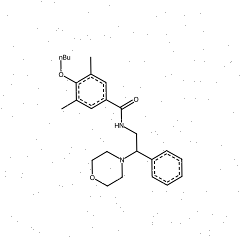 CCCCOc1c(C)cc(C(=O)NCC(c2ccccc2)N2CCOCC2)cc1C